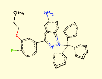 COCCOc1cc(-c2nn(C(c3ccccc3)(c3ccccc3)c3ccccc3)c3ccc(N)cc23)ccc1F